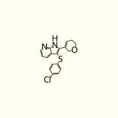 Clc1ccc(Sc2c(C3=CCCOC3)[nH]c3ncccc23)cc1